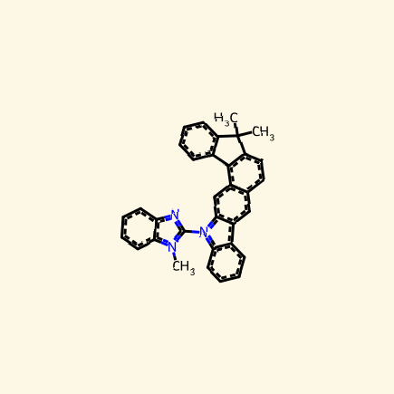 Cn1c(-n2c3ccccc3c3cc4ccc5c(c4cc32)-c2ccccc2C5(C)C)nc2ccccc21